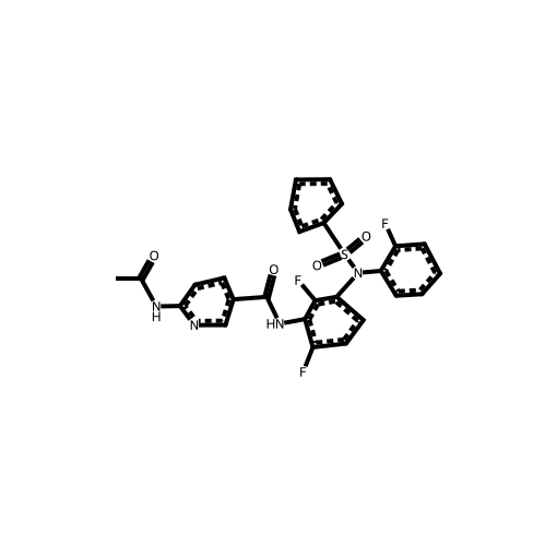 CC(=O)Nc1ccc(C(=O)Nc2c(F)ccc(N(c3ccccc3F)S(=O)(=O)c3ccccc3)c2F)cn1